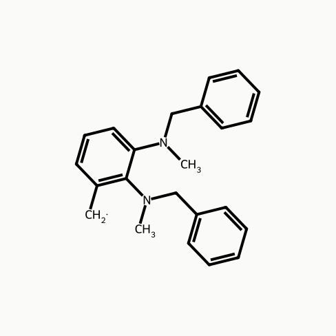 [CH2]c1cccc(N(C)Cc2ccccc2)c1N(C)Cc1ccccc1